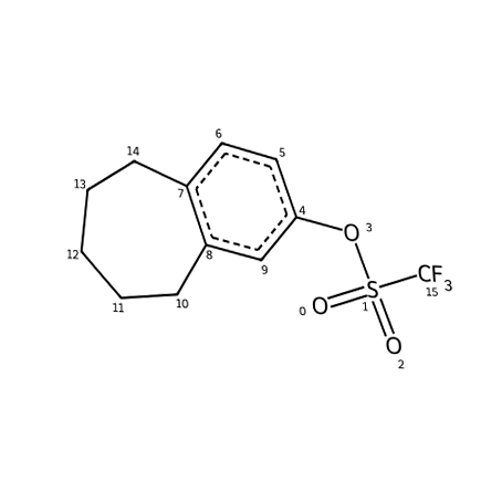 O=S(=O)(Oc1ccc2c(c1)CCCCC2)C(F)(F)F